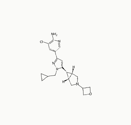 Nc1ncc(-c2cc([C@H]3[C@@H]4CN(C5COC5)C[C@@H]43)n(CC3CC3)n2)cc1Cl